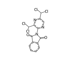 O=C1c2ccccc2C(=O)N1c1ncc(C(Cl)Cl)nc1C(Cl)Cl